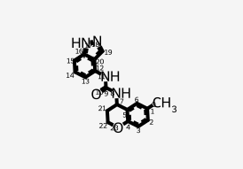 Cc1ccc2c(c1)C(NC(=O)Nc1cccc3[nH]ncc13)CCO2